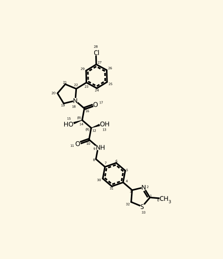 CC1=NC(c2ccc(CNC(=O)[C@H](O)[C@@H](O)C(=O)N3CCCC3c3cccc(Cl)c3)cc2)CS1